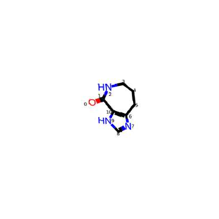 O=C1NCCCc2n[c][nH]c21